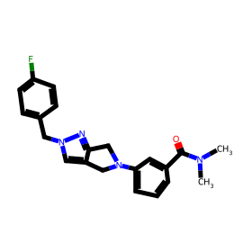 CN(C)C(=O)c1cccc(N2Cc3cn(Cc4ccc(F)cc4)nc3C2)c1